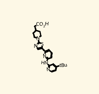 CC(C)(C)c1ccnc(Nc2cccc(-c3cnc(N4CCC(CC(=O)O)CC4)s3)n2)c1